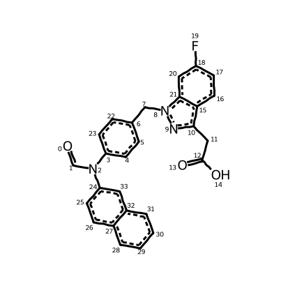 O=CN(c1ccc(Cn2nc(CC(=O)O)c3ccc(F)cc32)cc1)c1ccc2ccccc2c1